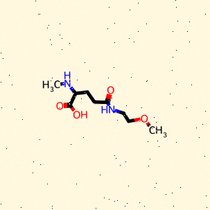 CNC(CCC(=O)NCCOC)C(=O)O